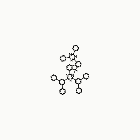 CC1(C)c2cccc(-c3nc(-c4ccccc4)nc(-c4ccccc4)n3)c2-c2cccc(-c3nc(-c4cc(-c5ccccc5)cc(-c5ccccc5)c4)nc(-c4cc(-c5ccccc5)cc(-c5ccccc5)c4)n3)c21